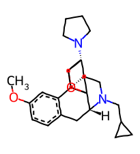 COc1ccc2c(c1)[C@]13CCN(CC4CC4)[C@H](C2)C12CC[C@@](N1CCCC1)(CO2)C3